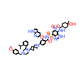 COc1ccc(CN2CCN(C3CC4(C3)CN(c3ccc(C(=O)NS(=O)(=O)c5cc([N+](=O)[O-])c(NCC6CCC(C)(O)CC6)c6[nH]cnc56)c(Oc5cnc6[nH]ccc6c5)c3)C4)C(c3ccccc3C(C)C)C2)cc1